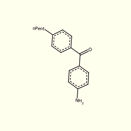 CCCCCc1ccc(C(=O)c2ccc(N)cc2)cc1